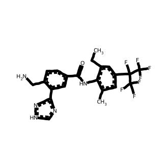 CCc1cc(C(F)(C(F)(F)F)C(F)(F)F)cc(C)c1NC(=O)c1ccc(CN)c(-c2nc[nH]n2)c1